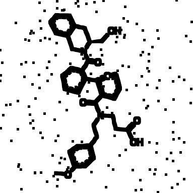 COc1ccc(CCN(CCC(=O)O)C(=O)c2ccccc2-c2ccccc2C(=O)N2Cc3ccccc3C[C@H]2CO)cc1